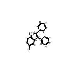 Fc1ccc2[nH]c(-c3ccccc3)c(-c3ccccc3)c2c1